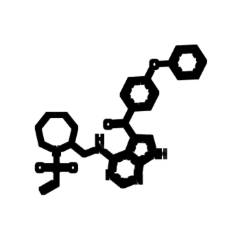 C=CS(=O)(=O)N1CCCCCC1CNc1ncnc2[nH]cc(C(=O)c3ccc(Oc4ccccc4)cc3)c12